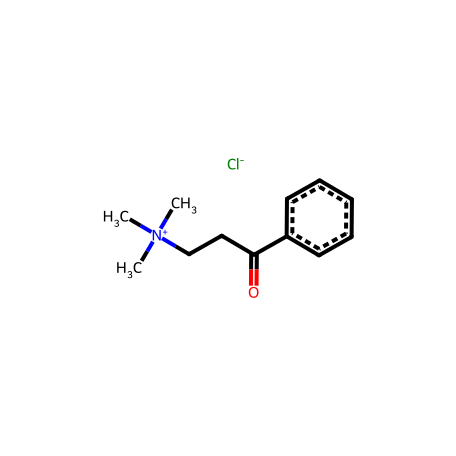 C[N+](C)(C)CCC(=O)c1ccccc1.[Cl-]